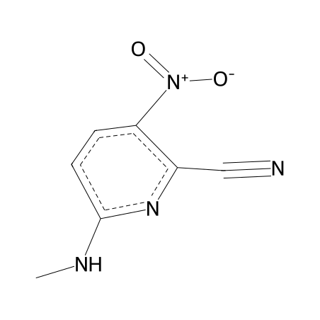 CNc1ccc([N+](=O)[O-])c(C#N)n1